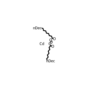 CCCCCCCCCCCCCCCCCC(=O)OOOC(=O)CCCCCCCCCCCCCCCCC.[Cd]